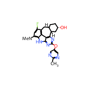 CNc1cc(F)c2c3c1[nH]c1nc(Oc4cnc(C)nc4)nc(c13)[C@H]1C[C@@H](O)CC[C@@H]1C2